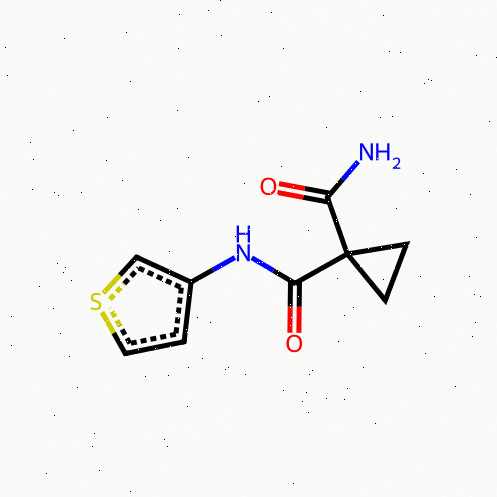 NC(=O)C1(C(=O)Nc2ccsc2)CC1